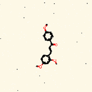 COc1ccc(C(=O)C=Cc2ccc(OC)cc2OC)cc1